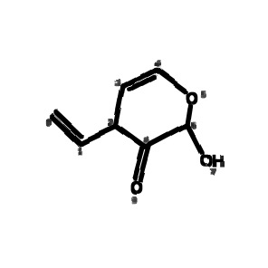 C=CC1C=COC(O)C1=O